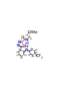 COCC(C)NC(=O)c1nnc(-c2ccccc2Nc2ccc(C(F)(F)F)cc2)o1